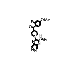 COc1ccc(C(=O)C2CCN(c3nc4cnncc4nc3NC(C)C)CC2)c(F)c1